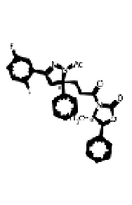 CC(=O)N1N=C(c2cc(F)ccc2F)C[C@@]1(CCC(=O)N1C(=O)OC(c2ccccc2)[C@@H]1C)c1ccccc1